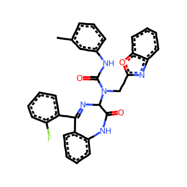 Cc1cccc(NC(=O)N(Cc2nc3ccccc3o2)C2N=C(c3ccccc3F)c3ccccc3NC2=O)c1